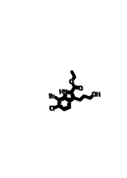 CCOC(=O)c1[nH]c2c(Br)c(Cl)ccc2c1CCCO